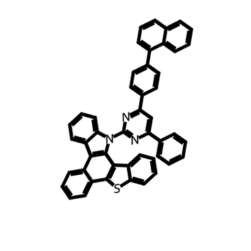 c1ccc(-c2cc(-c3ccc(-c4cccc5ccccc45)cc3)nc(-n3c4ccccc4c4c5ccccc5c5sc6ccccc6c5c43)n2)cc1